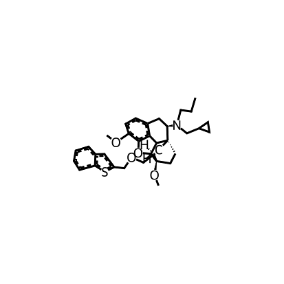 CCCN(CC1CC1)[C@@H]1Cc2ccc(OC)c3c2C2[C@@H](O3)[C@@]3(OC)CC[C@]21C[C@@H]3COCc1cc2ccccc2s1